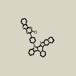 Clc1nc2c(nc1-c1ccc(-n3c4ccccc4c4c5ccccc5c5c6cc7ccccc7cc6sc5c43)cc1)sc1ccccc12